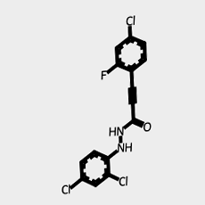 O=C(C#Cc1ccc(Cl)cc1F)NNc1ccc(Cl)cc1Cl